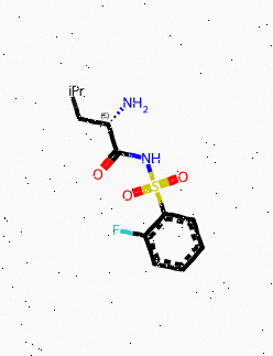 CC(C)C[C@H](N)C(=O)NS(=O)(=O)c1ccccc1F